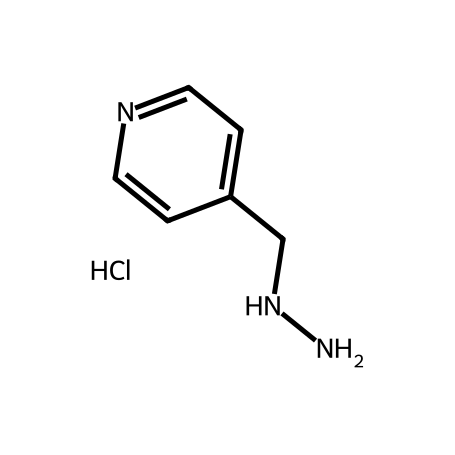 Cl.NNCc1ccncc1